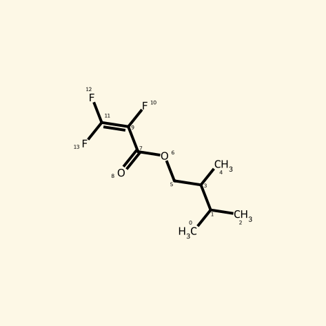 CC(C)C(C)COC(=O)C(F)=C(F)F